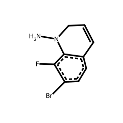 NN1CC=Cc2ccc(Br)c(F)c21